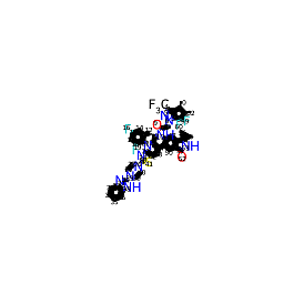 C[C@@H]1c2c(C(F)(F)F)nn(CC(=O)N[C@@H](Cc3cc(F)cc(F)c3)c3nc4nc(N5CCN(c6nc7ccccc7[nH]6)CC5)sc4cc3-c3ccc4c(c3)C(=O)NC43CC3)c2C(F)(F)[C@@H]1C